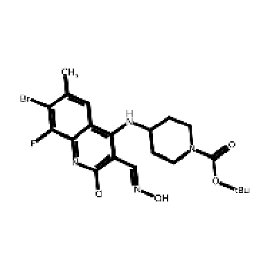 Cc1cc2c(NC3CCN(C(=O)OC(C)(C)C)CC3)c(/C=N/O)c(Cl)nc2c(F)c1Br